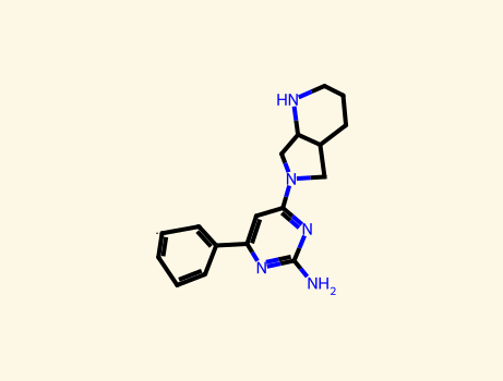 Nc1nc(-c2c[c]ccc2)cc(N2CC3CCCNC3C2)n1